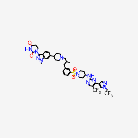 CC(Cc1cccc(S(=O)(=O)N2CCC(Nc3ncc(C(F)(F)F)c(-c4cnn(CC(F)(F)F)c4)n3)CC2)c1)CN1CCC(c2ccc3c(N4CCC(=O)NC4=O)nn(C)c3c2)CC1